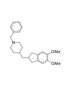 COc1cc2c(cc1OC)CC(CC1CCN(Cc3ccccc3)CC1)C2